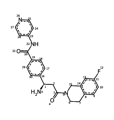 N[C@H](CC(=O)N1CCc2ccc(F)cc2C1)c1ccc(C(=O)Nc2ccncc2)cc1